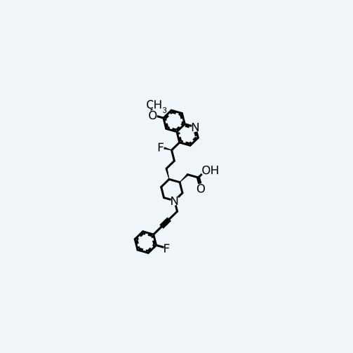 COc1ccc2nccc([C@H](F)CC[C@@H]3CCN(CC#Cc4ccccc4F)C[C@@H]3CC(=O)O)c2c1